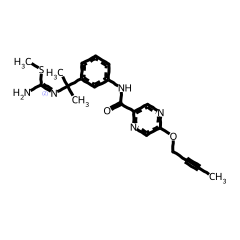 CC#CCOc1cnc(C(=O)Nc2cccc(C(C)(C)/N=C(/N)SC)c2)cn1